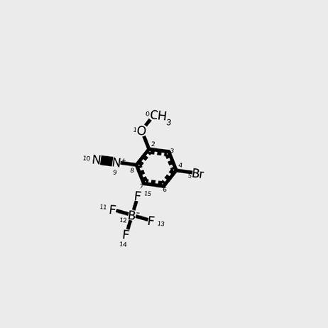 COc1cc(Br)ccc1[N+]#N.F[B-](F)(F)F